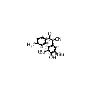 Cc1ccc(C(=O)C(C#N)c2cc(C(C)(C)C)c(O)c(C(C)(C)C)c2)cc1